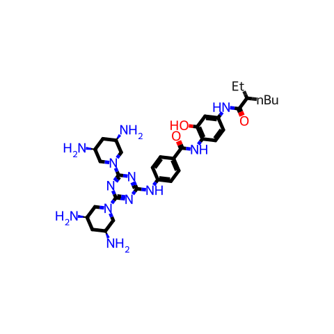 CCCCC(CC)C(=O)Nc1ccc(NC(=O)c2ccc(Nc3nc(N4C[C@H](N)C[C@H](N)C4)nc(N4C[C@H](N)C[C@H](N)C4)n3)cc2)c(O)c1